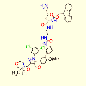 COc1cc2c(cc1-c1cccc(NC(=O)NCCNC(=O)[C@@H](CCCCN)NC(=O)OCC3c4ccccc4-c4ccccc43)c1)-c1c(c(C(=O)N3CCOCC3(C)C)nn1-c1cc(Cl)cc(Cl)c1)CO2